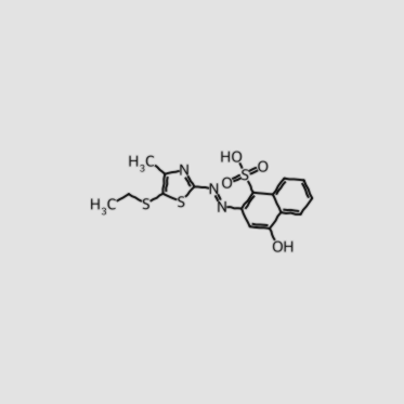 CCSc1sc(N=Nc2cc(O)c3ccccc3c2S(=O)(=O)O)nc1C